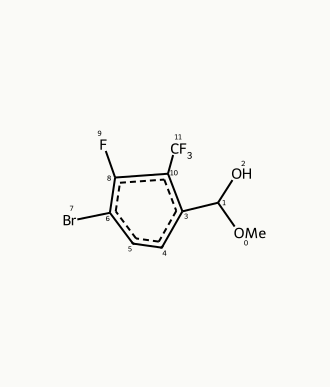 COC(O)c1ccc(Br)c(F)c1C(F)(F)F